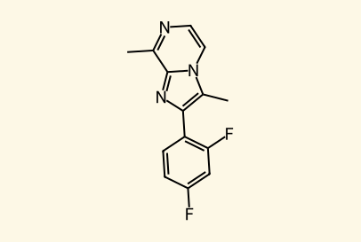 Cc1nccn2c(C)c(-c3ccc(F)cc3F)nc12